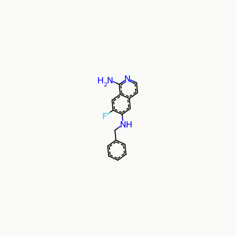 Nc1nccc2cc(NCc3ccccc3)c(F)cc12